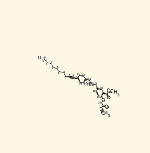 CCCCCCCCC#Cc1ccc(CNCc2ccc(OCC(=O)OC)c(C(=O)OC)c2)cc1